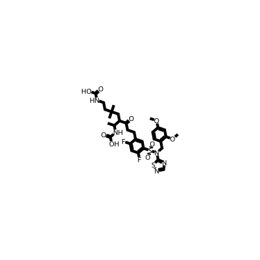 COc1ccc(CN(c2ncns2)S(=O)(=O)c2cc(CCC(=O)C(CC(C)(C)CCNC(=O)O)C(C)NC(=O)O)c(F)cc2F)c(OC)c1